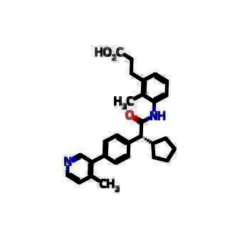 Cc1ccncc1-c1ccc([C@H](C(=O)Nc2cccc(CCC(=O)O)c2C)C2CCCC2)cc1